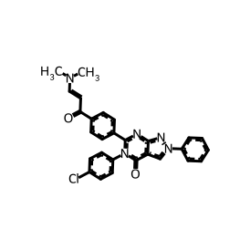 CN(C)C=CC(=O)c1ccc(-c2nc3nn(-c4ccccc4)cc3c(=O)n2-c2ccc(Cl)cc2)cc1